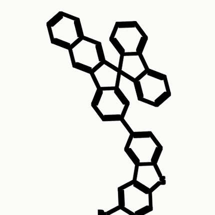 Brc1ccc2sc3ccc(-c4ccc5c(c4)C4(c6ccccc6-c6ccccc64)c4cc6ccccc6cc4-5)cc3c2c1